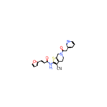 N#Cc1c(NC(=O)C=Cc2ccco2)sc2c1CCN(C(=O)Cc1cccnc1)C2